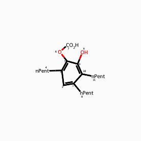 CCCCCc1cc(CCCCC)c(OC(=O)O)c(O)c1CCCCC